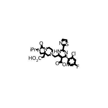 COC(=O)C1=C(CN2CCN3C(=O)N(C(C)C)CC3(CC(=O)O)C2)NC(c2nccs2)=N[C@H]1c1ccc(F)cc1Cl